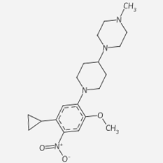 COc1cc([N+](=O)[O-])c(C2CC2)cc1N1CCC(N2CCN(C)CC2)CC1